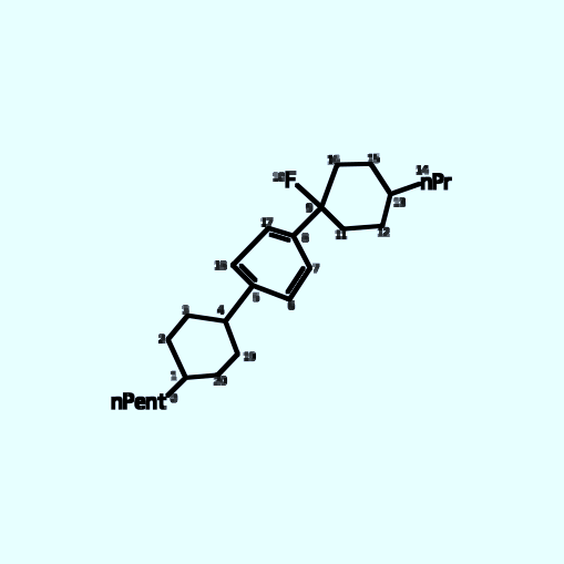 CCCCCC1CCC(c2ccc(C3(F)CCC(CCC)CC3)cc2)CC1